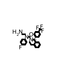 NCCN(C(=O)N1CCc2ccccc2[C@H]1c1ccc(C(F)(F)F)cc1)c1ccc(F)cc1